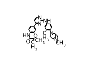 Cc1cc(Nc2nccc(-c3ccc4c(c3)OC(C)(C)C(=O)N4)n2)ccc1N1CC2CC1CN2C